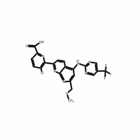 COCc1cc(Nc2ncc(C(F)(F)F)cn2)c2ccc(-c3nc(C(=O)O)ccc3Cl)nc2n1